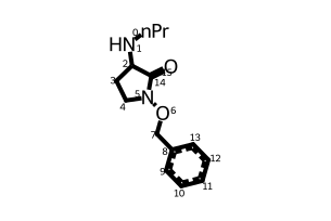 CCCNC1CCN(OCc2ccccc2)C1=O